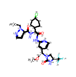 CCn1nccc1C(=O)N[C@H](C(=O)Nc1cc([C@@H](COC)N2C[C@@H](C(F)(F)F)NC2=O)ccn1)C1CCC(Cl)CC1